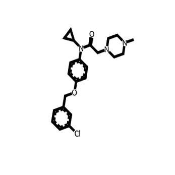 CN1CCN(CC(=O)N(c2ccc(OCc3cccc(Cl)c3)cc2)C2CC2)CC1